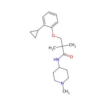 CN1CCC(NC(=O)C(C)(C)COc2ccccc2C2CC2)CC1